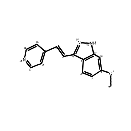 COc1ccc2c(/C=C/c3ccncc3)n[nH]c2c1